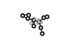 c1ccc(-c2ccc(-c3nc(-c4ccc5ccccc5c4)nc(-c4ncc(-c5ccc6c7c(cccc57)-c5ccccc5-6)c5oc6ccccc6c45)n3)cc2)cc1